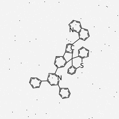 c1ccc(-c2cc(-c3ccccc3)nc(-c3ccc4c(c3)C3(c5ccccc5Sc5ccccc53)c3cc(-c5cccc6cccnc56)ccc3-4)c2)cc1